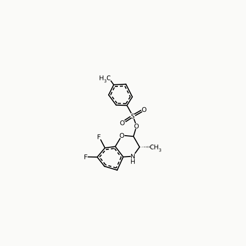 Cc1ccc(S(=O)(=O)OC2Oc3c(ccc(F)c3F)N[C@H]2C)cc1